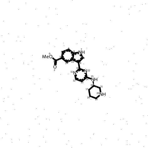 COC(=O)c1ccc2[nH]cc(-c3nccc(N[C@@H]4CCCNC4)n3)c2c1